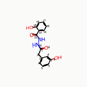 O=C(Cc1cccc(O)c1)NNC(=O)c1ccccc1O